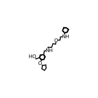 OCc1cc(CNCCCCOCCNc2ccccc2)ccc1OC1CCCC1